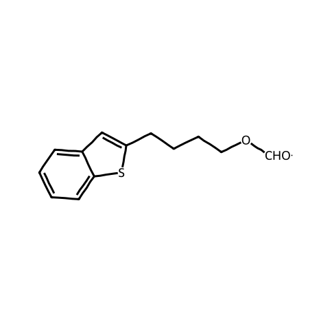 O=[C]OCCCCc1cc2ccccc2s1